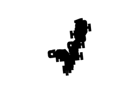 O=C(CCCNC(=O)c1ccc(Nc2nc(NC3(c4ccc(Cl)cc4)CC3)nc(OCC(F)(F)F)n2)cc1)NC1(C(=O)NS(=O)(=O)C2CC2)CC1